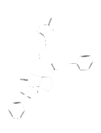 O=C(OCc1ccccc1)N1CC[C@H]2[C@H]1[C@@H](CCCCc1noc(=O)[nH]1)C(=O)N2S(=O)(=O)c1ccccc1